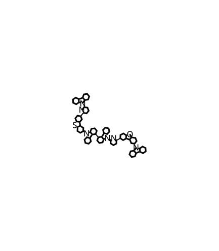 c1cc(-c2ccc3sc4ccc(-n5c6ccccc6c6c(-c7cccc8c7c7ccccc7n8-c7cccc(-c8ccc9oc%10ccc(-n%11c%12ccccc%12c%12ccccc%12%11)cc%10c9c8)n7)cccc65)cc4c3c2)nc(-n2c3ccccc3c3ccccc32)c1